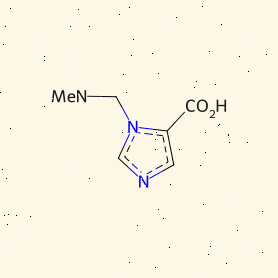 CNCn1cncc1C(=O)O